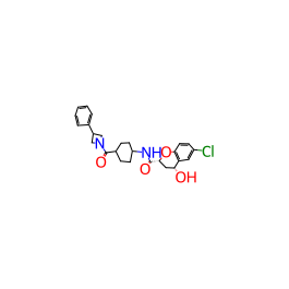 O=C(NC1CCC(C(=O)N2CC(c3ccccc3)C2)CC1)[C@H]1C[C@@H](O)c2cc(Cl)ccc2O1